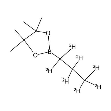 [2H]C([2H])([2H])C([2H])([2H])C([2H])([2H])B1OC(C)(C)C(C)(C)O1